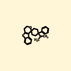 CN(C)C1(c2ccccc2)CCC2(CC1)OCCc1sc3ccccc3c12